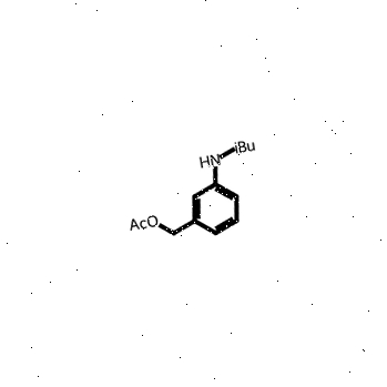 CCC(C)Nc1cccc(COC(C)=O)c1